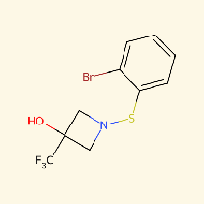 OC1(C(F)(F)F)CN(Sc2ccccc2Br)C1